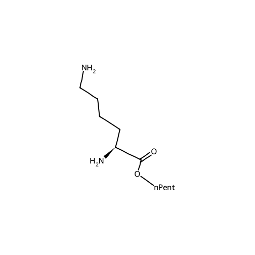 CCCCCOC(=O)[C@@H](N)CCCCN